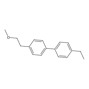 CCc1ccc(-c2ccc(CCOC)cc2)cc1